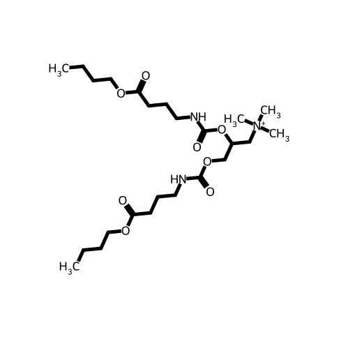 CCCCOC(=O)CCCNC(=O)OCC(C[N+](C)(C)C)OC(=O)NCCCC(=O)OCCCC